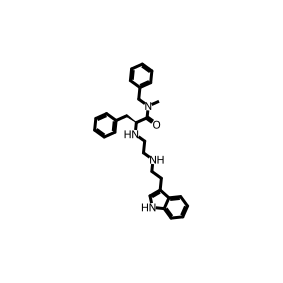 CN(Cc1ccccc1)C(=O)[C@H](Cc1ccccc1)NCCNCCc1c[nH]c2ccccc12